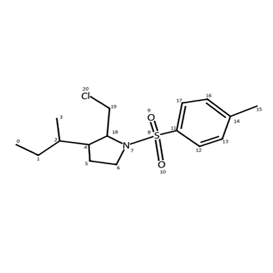 CCC(C)C1CCN(S(=O)(=O)c2ccc(C)cc2)C1CCl